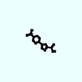 O=C(O)c1cn(-c2ccc([N+](=O)[O-])cn2)cn1